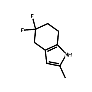 Cc1cc2c([nH]1)CCC(F)(F)C2